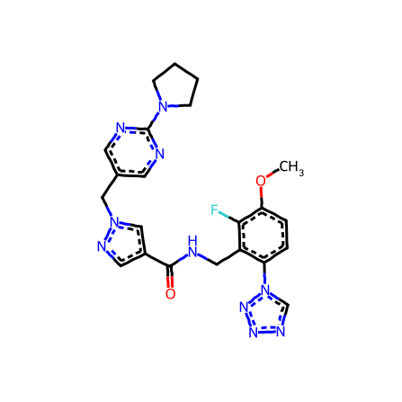 COc1ccc(-n2cnnn2)c(CNC(=O)c2cnn(Cc3cnc(N4CCCC4)nc3)c2)c1F